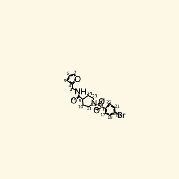 O=C(NCc1ccco1)C1CCN(S(=O)(=O)c2ccc(Br)cc2)CC1